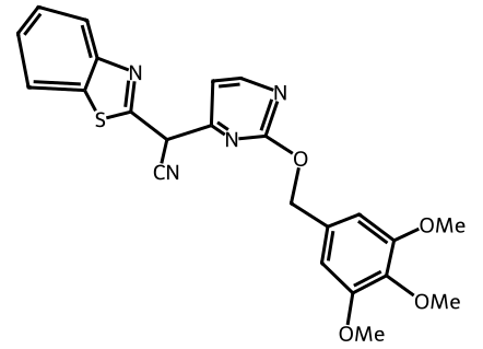 COc1cc(COc2nccc(C(C#N)c3nc4ccccc4s3)n2)cc(OC)c1OC